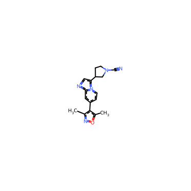 Cc1noc(C)c1-c1ccn2c(C3CCN(C#N)C3)cnc2c1